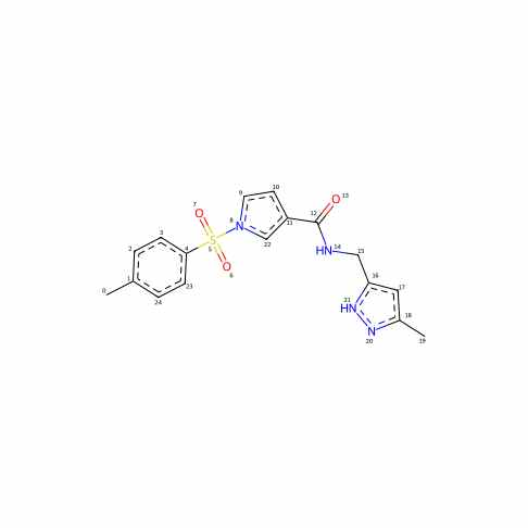 Cc1ccc(S(=O)(=O)n2ccc(C(=O)NCc3cc(C)n[nH]3)c2)cc1